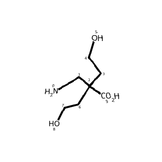 NCC(CCO)(CCO)C(=O)O